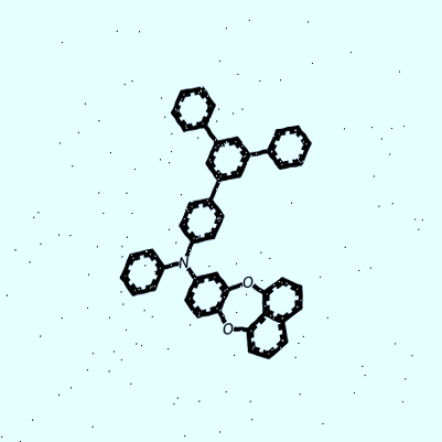 c1ccc(-c2cc(-c3ccccc3)cc(-c3ccc(N(c4ccccc4)c4ccc5c(c4)Oc4cccc6cccc(c46)O5)cc3)c2)cc1